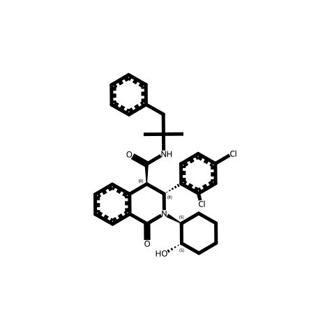 CC(C)(Cc1ccccc1)NC(=O)[C@@H]1c2ccccc2C(=O)N([C@H]2CCCC[C@@H]2O)[C@H]1c1ccc(Cl)cc1Cl